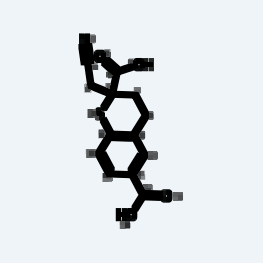 N#CCC1(C(=O)O)CCc2cc(C(=O)O)ccc2S1